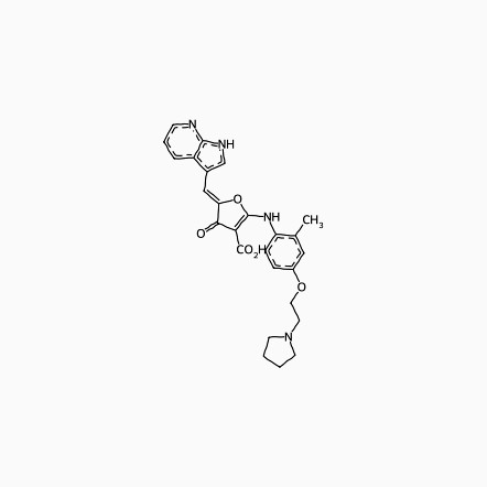 Cc1cc(OCCN2CCCC2)ccc1NC1=C(C(=O)O)C(=O)/C(=C/c2c[nH]c3ncccc23)O1